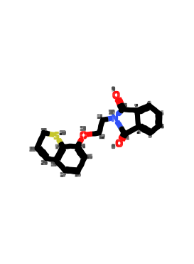 O=C1c2ccccc2C(=O)N1CCOc1cccc2c1SCC=C2